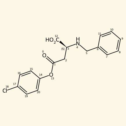 O=C(C[C@H](NCc1ccccc1)C(=O)O)Oc1ccc(Cl)cc1